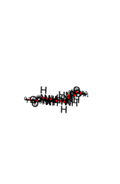 CCCCOC(=O)c1ccc(NC(=N)NC(=N)NCCCCCCNC(=N)NC(=N)Nc2ccc(C(=O)OCCCC)cc2)cc1